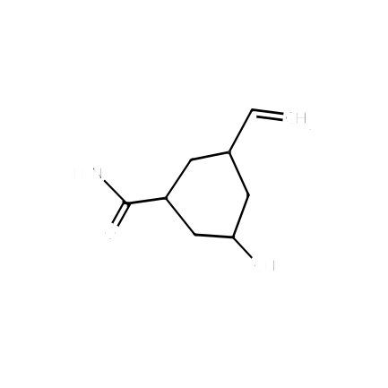 C=CC1CC(C)CC(C(N)=O)C1